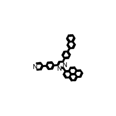 c1ccc2cc(-c3ccc(-c4cc(-c5ccc(-c6ccncc6)cc5)nc(-c5ccc6ccc7cccc8ccc5c6c78)n4)cc3)ccc2c1